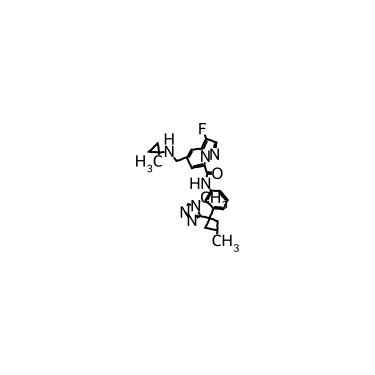 CC1CC(c2cccc(NC(=O)c3cc(CNC4(C)CC4)cc4c(F)cnn34)c2)(c2nncn2C)C1